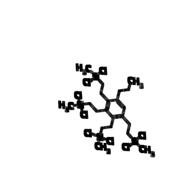 CCCc1cc(CC[Si](C)(Cl)Cl)c(CC[Si](C)(Cl)Cl)c(CC[Si](C)(Cl)Cl)c1CC[Si](C)(Cl)Cl